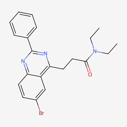 CCN(CC)C(=O)CCc1nc(-c2ccccc2)nc2ccc(Br)cc12